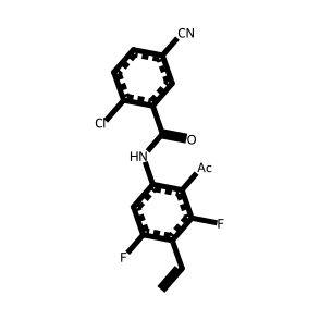 C=Cc1c(F)cc(NC(=O)c2cc(C#N)ccc2Cl)c(C(C)=O)c1F